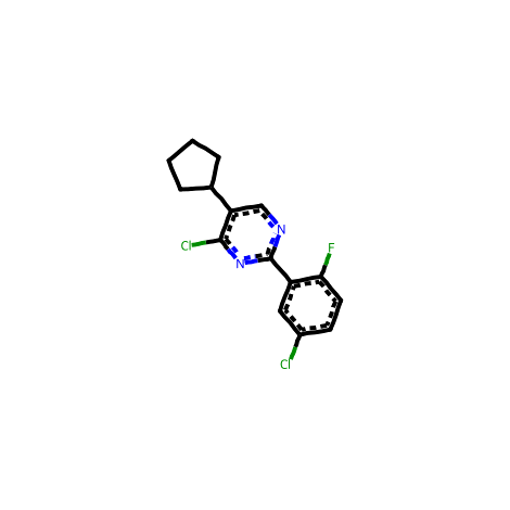 Fc1ccc(Cl)cc1-c1ncc(C2CCCC2)c(Cl)n1